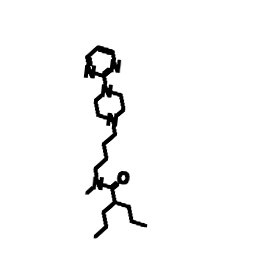 CCCC(CCC)C(=O)N(C)CCCCN1CCN(c2ncccn2)CC1